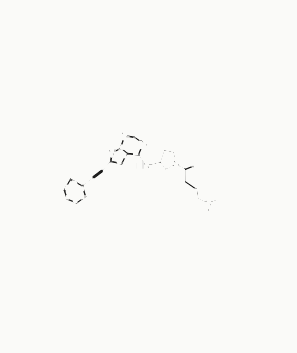 CN(C)C/C=C/C(=O)N1CCC(Nc2ncnc3[nH]c(C#Cc4ccccc4)cc23)C1